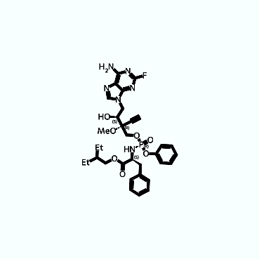 C#C[C@](CO[P@](=O)(N[C@@H](Cc1ccccc1)C(=O)OCC(CC)CC)Oc1ccccc1)(OC)[C@@H](O)Cn1cnc2c(N)nc(F)nc21